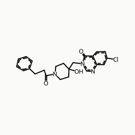 O=C(CCc1ccccc1)N1CCC(O)(Cn2cnc3cc(Cl)ccc3c2=O)CC1